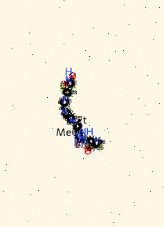 CCc1cc(Nc2ncc(Br)c(Nc3ccc4nc(C)c(F)cc4c3P(C)(C)=O)n2)c(OC)cc1N1CCC2(CCN(CC3CCN(c4cc(F)c([C@H]5CCC(=O)NC5=O)c(F)c4)CC3)CC2)CC1